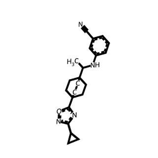 CC(Nc1cccc(C#N)c1)C12CCC(c3nc(C4CC4)no3)(CC1)CC2